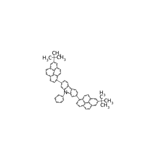 CC(C)(C)c1cc2ccc3ccc(-c4ccc5c6ccc(-c7ccc8ccc9cc(C(C)(C)C)cc%10ccc7c8c9%10)cc6n(-c6ccccc6)c5c4)c4ccc(c1)c2c34